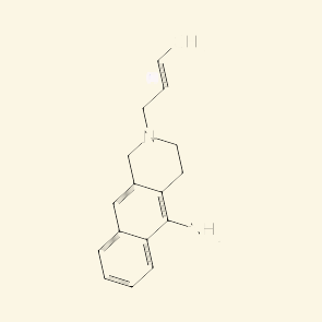 C/C=C/CN1CCc2c(cc3ccccc3c2N)C1